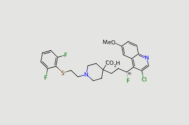 COc1ccc2ncc(Cl)c([C@H](F)CCC3(C(=O)O)CCN(CCSc4c(F)cccc4F)CC3)c2c1